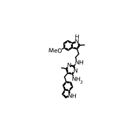 COc1ccc2[nH]c(C)c(CCNc3nc(C)c(Cc4ccc5[nH]ccc5c4)c(N)n3)c2c1